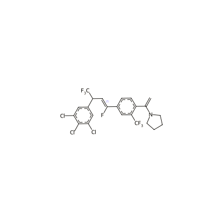 C=C(c1ccc(/C(F)=C/C(c2cc(Cl)c(Cl)c(Cl)c2)C(F)(F)F)cc1C(F)(F)F)N1CCCC1